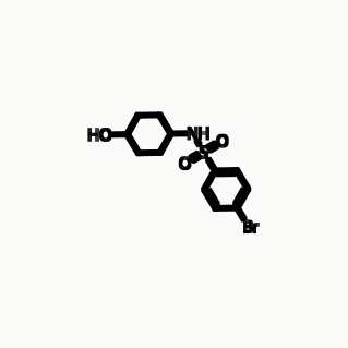 O=S(=O)(NC1CCC(O)CC1)c1ccc(Br)cc1